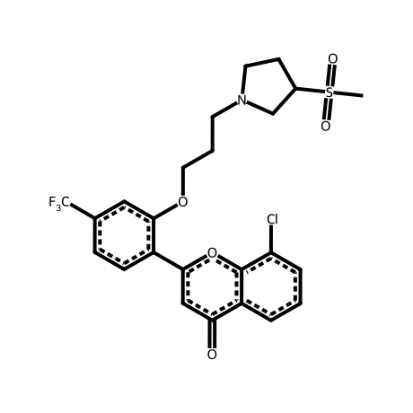 CS(=O)(=O)C1CCN(CCCOc2cc(C(F)(F)F)ccc2-c2cc(=O)c3cccc(Cl)c3o2)C1